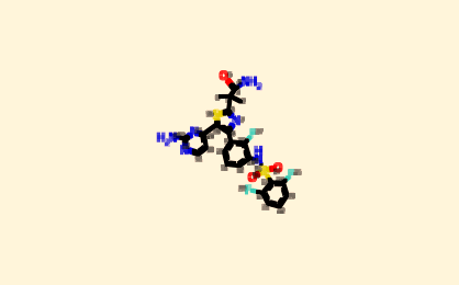 CC(C)(C(N)=O)c1nc(-c2cccc(NS(=O)(=O)c3c(F)cccc3F)c2F)c(-c2ccnc(N)n2)s1